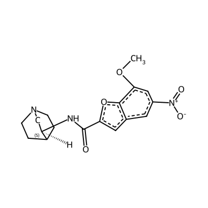 COc1cc([N+](=O)[O-])cc2cc(C(=O)N[C@@H]3CN4CCC3CC4)oc12